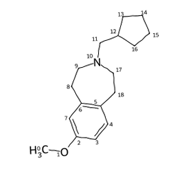 COc1ccc2c(c1)CCN(CC1CCCC1)CC2